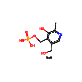 Cc1ncc(CO)c(COP(=O)(O)O)c1O.[NaH]